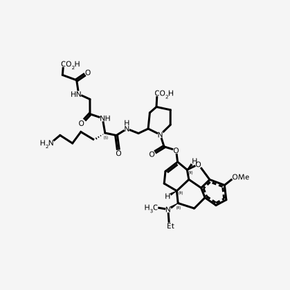 CCN(C)[C@@H]1Cc2ccc(OC)c3c2C2[C@H]1CC=C(OC(=O)N1CCC(C(=O)O)CC1CNC(=O)[C@H](CCCCN)NC(=O)CNC(=O)CC(=O)O)[C@@H]2O3